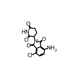 Nc1ccc(Cl)c2c1C(=O)N(C1CCC(=O)NC1=O)C2=O